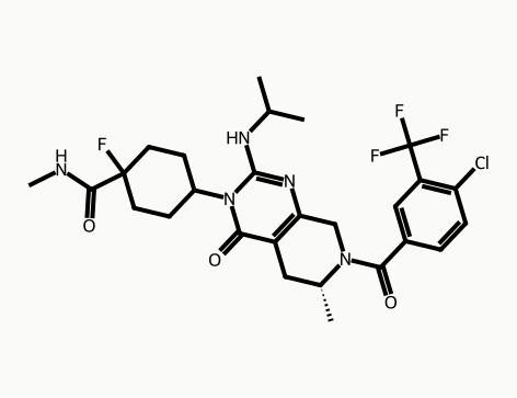 CNC(=O)C1(F)CCC(n2c(NC(C)C)nc3c(c2=O)C[C@@H](C)N(C(=O)c2ccc(Cl)c(C(F)(F)F)c2)C3)CC1